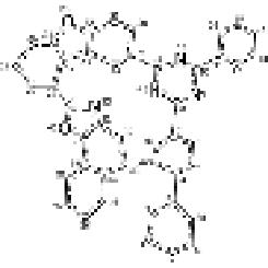 c1ccc(-c2ccc(-c3nc(-c4ccccc4)nc(-c4ccc5oc6cccc(-c7nc8ccc9ccccc9c8o7)c6c5c4)n3)cc2)cc1